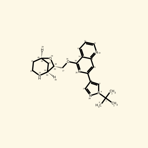 CC(C)(C)n1cc(-c2cc3ncccc3c(OC[C@H]3O[C@@H]4CCN[C@H]3C4)n2)cn1